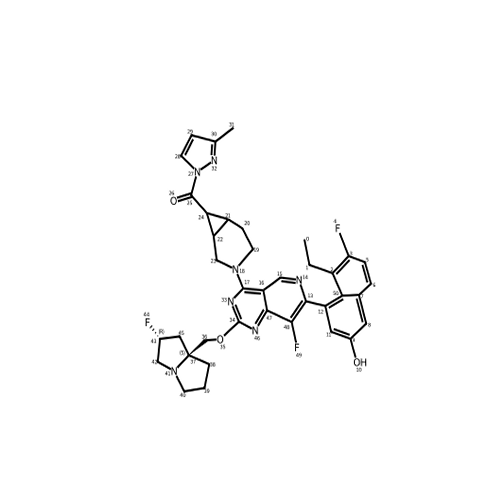 CCc1c(F)ccc2cc(O)cc(-c3ncc4c(N5CCC6C(C5)C6C(=O)n5ccc(C)n5)nc(OC[C@@]56CCCN5C[C@H](F)C6)nc4c3F)c12